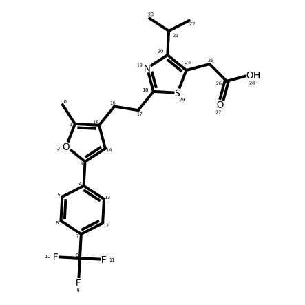 Cc1oc(-c2ccc(C(F)(F)F)cc2)cc1CCc1nc(C(C)C)c(CC(=O)O)s1